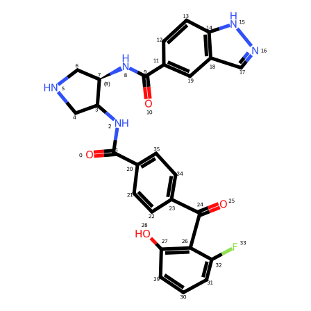 O=C(NC1CNC[C@H]1NC(=O)c1ccc2[nH]ncc2c1)c1ccc(C(=O)c2c(O)cccc2F)cc1